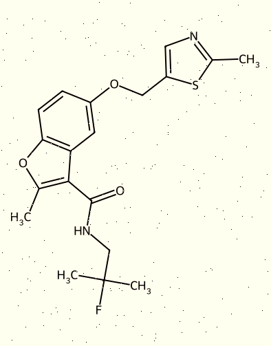 Cc1ncc(COc2ccc3oc(C)c(C(=O)NCC(C)(C)F)c3c2)s1